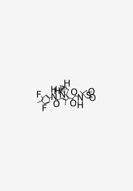 Cc1c(F)cc(NC(=O)c2c(C)c(C(=O)C(=O)NC3(C)CS(=O)(=O)C3)c3n2[C@@H]2C[C@@H]2C3)cc1F